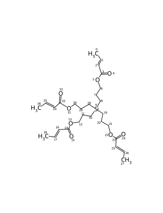 CC=CC(=O)OCCC[Si](CCCOC(=O)C=CC)(CCCOC(=O)C=CC)CCCOC(=O)C=CC